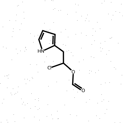 O=COC(Cl)Cc1ccc[nH]1